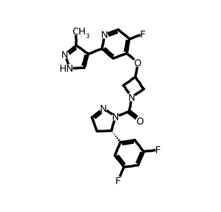 Cc1n[nH]cc1-c1cc(OC2CN(C(=O)N3N=CC[C@H]3c3cc(F)cc(F)c3)C2)c(F)cn1